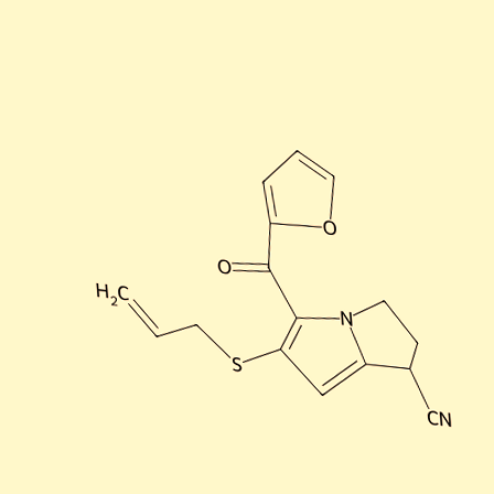 C=CCSc1cc2n(c1C(=O)c1ccco1)CCC2C#N